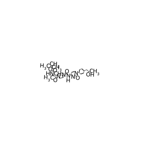 CC(O)Cc1ccc(-n2ccc(NC(=O)N3CCN(C(=O)C(C)(C)NC(=O)OC(C)(C)C)CC3)nc2=O)cc1